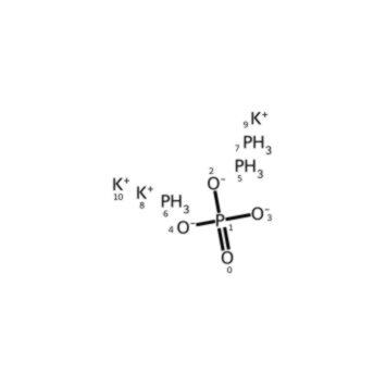 O=P([O-])([O-])[O-].P.P.P.[K+].[K+].[K+]